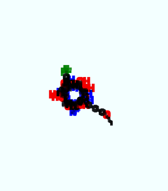 CCCCCOc1ccc(-c2ccc(-c3ccc(C(=O)N[C@H]4C[C@@H](O)[C@@H](OCC[N+](C)(C)C)NC(=O)[C@@H]5[C@@H](O)[C@@H](C)CN5C(=O)[C@H]([C@@H](C)O)NC(=O)[C@H]([C@@H]5OB(c6ccc(C(F)(F)F)cc6)O[C@H]5c5ccc(O)cc5)NC(=O)[C@@H]5C[C@@H](O)CN5C(=O)[C@H]([C@@H](C)O)NC4=O)cc3)cc2)cc1